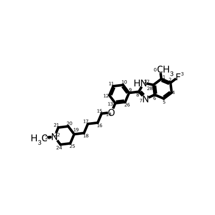 Cc1c(F)ccc2nc(-c3cccc(OCCCCC4CCN(C)CC4)c3)[nH]c12